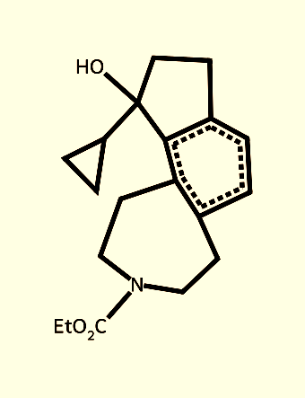 CCOC(=O)N1CCc2ccc3c(c2CC1)C(O)(C1CC1)CC3